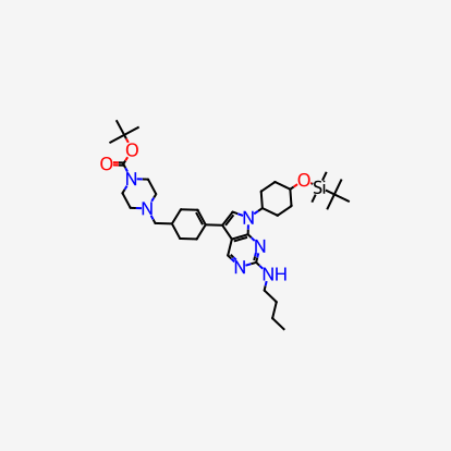 CCCCNc1ncc2c(C3=CCC(CN4CCN(C(=O)OC(C)(C)C)CC4)CC3)cn(C3CCC(O[Si](C)(C)C(C)(C)C)CC3)c2n1